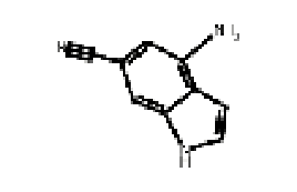 N#Cc1cc(N)c2cc[nH]c2c1